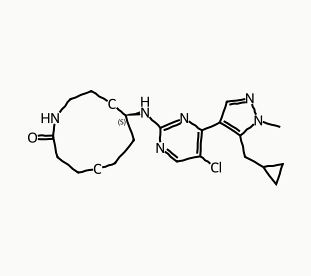 Cn1ncc(-c2nc(N[C@H]3CCCCCC(=O)NCCC3)ncc2Cl)c1CC1CC1